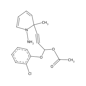 CC(=O)OC(C#CC1(C)C=CC=CN1N)Oc1ccccc1Cl